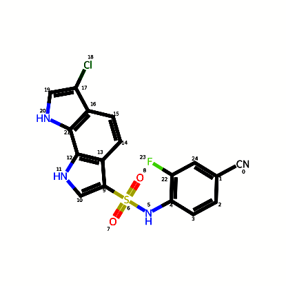 N#Cc1ccc(NS(=O)(=O)c2c[nH]c3c2ccc2c(Cl)c[nH]c23)c(F)c1